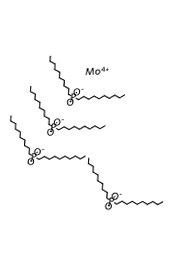 CCCCCCCCCCP(=O)([O-])CCCCCCCCCC.CCCCCCCCCCP(=O)([O-])CCCCCCCCCC.CCCCCCCCCCP(=O)([O-])CCCCCCCCCC.CCCCCCCCCCP(=O)([O-])CCCCCCCCCC.[Mo+4]